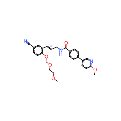 COCCOCOc1ccc(C#N)cc1/C=C/CNC(=O)c1ccc(-c2ccc(OC)nc2)cc1